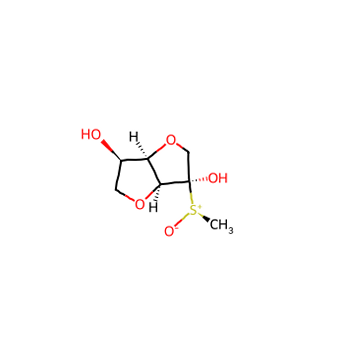 C[S@@+]([O-])[C@]1(O)CO[C@@H]2[C@H](O)CO[C@@H]21